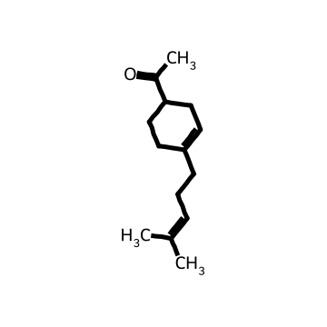 CC(=O)C1CC=C(CCC=C(C)C)CC1